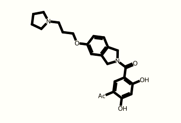 CC(=O)c1cc(C(=O)N2Cc3ccc(OCCCN4CCCC4)cc3C2)c(O)cc1O